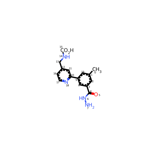 Cc1cc(C(=O)NN)cc(-c2cc(CNC(=O)O)ccn2)c1